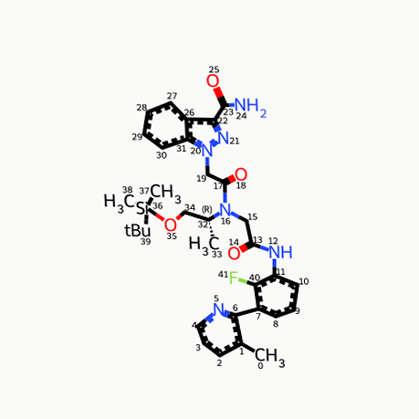 Cc1cccnc1-c1cccc(NC(=O)CN(C(=O)Cn2nc(C(N)=O)c3ccccc32)[C@H](C)CO[Si](C)(C)C(C)(C)C)c1F